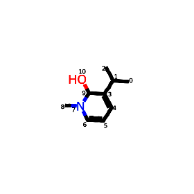 CC(C)C1=CC=CN(C)C1O